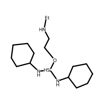 CCNCCO[SiH](NC1CCCCC1)NC1CCCCC1